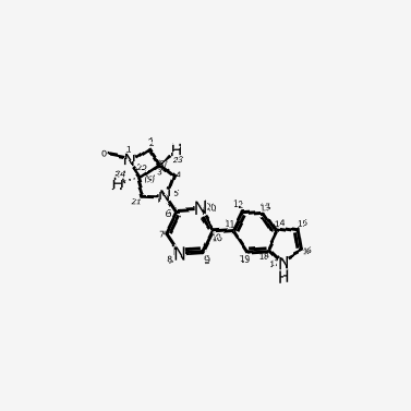 CN1C[C@@H]2CN(c3cncc(-c4ccc5cc[nH]c5c4)n3)C[C@H]21